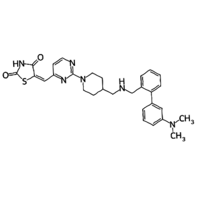 CN(C)c1cccc(-c2ccccc2CNCC2CCN(c3nccc(C=C4SC(=O)NC4=O)n3)CC2)c1